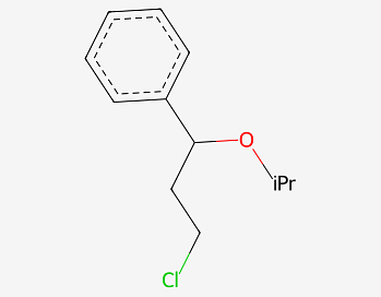 CC(C)OC(CCCl)c1ccccc1